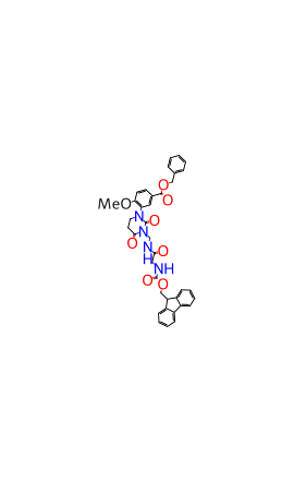 COc1ccc(C(=O)OCc2ccccc2)cc1N1CCC(=O)N(CNC(=O)CNC(=O)OCC2c3ccccc3-c3ccccc32)C1=O